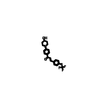 O=C(C=Cc1ccc(SC(F)(F)F)cc1)c1ccc(N2CCC(O)CC2)cc1